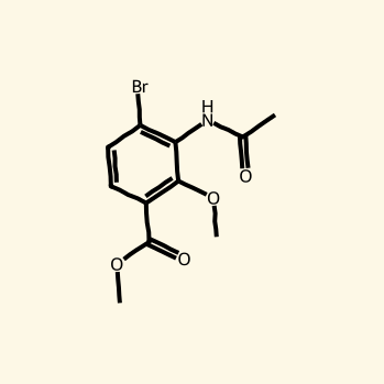 COC(=O)c1ccc(Br)c(NC(C)=O)c1OC